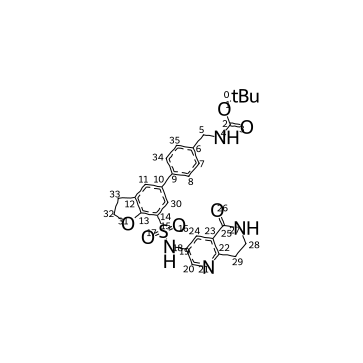 CC(C)(C)OC(=O)NCc1ccc(-c2cc3c(c(S(=O)(=O)Nc4cnc5c(c4)C(=O)NCC5)c2)OCC3)cc1